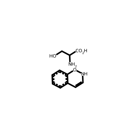 C1=Cc2ccccc2ON1.NC(CO)C(=O)O